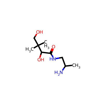 CC(N)CNC(=O)C(O)C(C)(C)CO